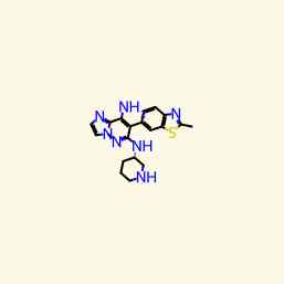 Cc1nc2ccc(-c3c(N[C@H]4CCCNC4)nn4ccnc4c3N)cc2s1